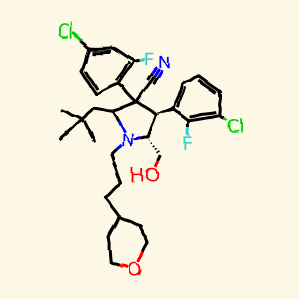 CC(C)(C)CC1N(CCCC2CCOCC2)[C@@H](CO)[C@H](c2cccc(Cl)c2F)C1(C#N)c1ccc(Cl)cc1F